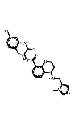 Cn1cncc1CNC1CCOc2c(C(=O)N[C@@H](Cc3ccc(Cl)cc3)C(N)=O)cccc21